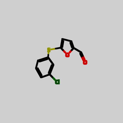 O=Cc1ccc(Sc2cccc(Cl)c2)o1